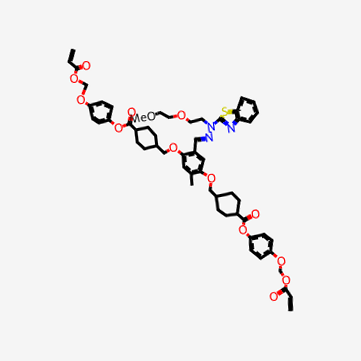 C=CC(=O)OCOc1ccc(OC(=O)C2CCC(COc3cc(/C=N/N(CCOCCOC)c4nc5ccccc5s4)c(OCC4CCC(C(=O)Oc5ccc(OCOC(=O)C=C)cc5)CC4)cc3C)CC2)cc1